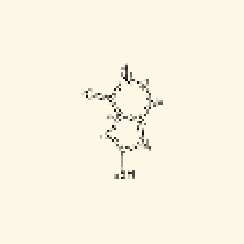 O=c1[nH]cnc2nc(S)sc12